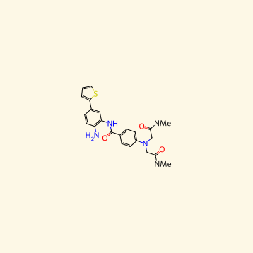 CNC(=O)CN(CC(=O)NC)c1ccc(C(=O)Nc2cc(-c3cccs3)ccc2N)cc1